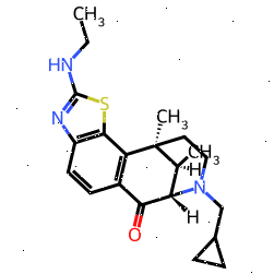 CCNc1nc2ccc3c(c2s1)[C@@]1(C)CCN(CC2CC2)[C@H](C3=O)[C@@H]1C